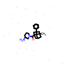 CC12CC3CC4(C(=O)N5CCCC(N)C5)CC(c5ccccc5)(C1)C24C3